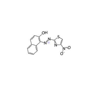 O=[N+]([O-])c1csc(/N=N/c2c(O)ccc3ccccc23)n1